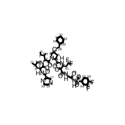 CCC(C)C(NC(=O)[C@H](CC(C)C)NC(=O)c1cnccn1)C(=O)N1C[C@H](OCc2ccccc2)C[C@H]1C(=O)N[C@@H](CC(F)F)C(=O)C(=O)NCC(=O)NS(=O)(=O)c1ccc(F)c(F)c1